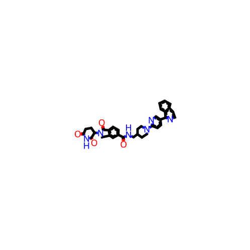 O=C1CCC(N2Cc3cc(C(=O)NCC4CCN(c5ccc(-c6nccc7ccccc67)cn5)CC4)ccc3C2=O)C(=O)N1